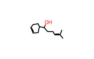 CC(C)=CCCC(O)C1CC=CCC1